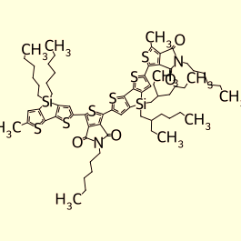 CCCCCCN1C(=O)c2c(C)sc(-c3cc4c(s3)-c3sc(-c5sc(-c6cc7c(s6)-c6sc(C)cc6[Si]7(CCCCCC)CCCCCC)c6c5C(=O)N(CCCCCC)C6=O)cc3[Si]4(CC(CC)CCCC)CC(CC)CCCC)c2C1=O